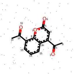 CC(=O)c1cc(=O)oc2c(C(C)=O)cccc12